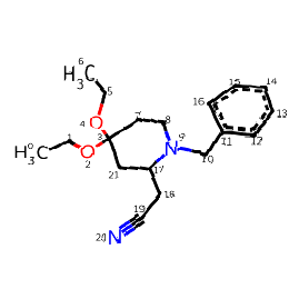 CCOC1(OCC)CCN(Cc2ccccc2)C(CC#N)C1